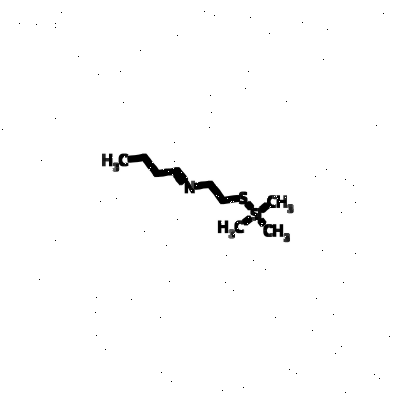 CCCC=NCCS[Si](C)(C)C